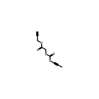 C#CCOC(=O)COC(=O)OC#CC